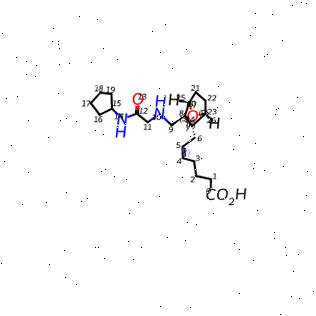 O=C(O)CCC/C=C\C[C@@H]1[C@@H](CNCC(=O)NC2CCCC2)[C@@H]2CC[C@H]1O2